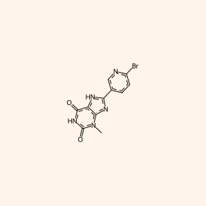 Cn1c(=O)[nH]c(=O)c2[nH]c(-c3ccc(Br)nc3)nc21